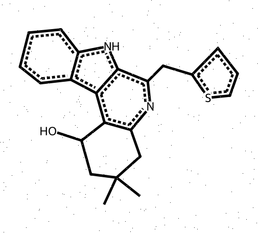 CC1(C)Cc2nc(Cc3cccs3)c3[nH]c4ccccc4c3c2C(O)C1